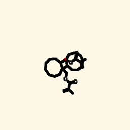 C=C(C)C(=O)OCC1CCCCCCCC1(COC(=O)C(=C)C)C1CCCCCCCC1